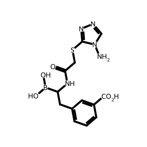 Nn1cnnc1SCC(=O)NC(Cc1cccc(C(=O)O)c1)B(O)O